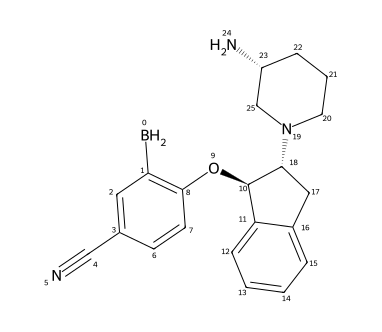 Bc1cc(C#N)ccc1O[C@@H]1c2ccccc2C[C@H]1N1CCC[C@@H](N)C1